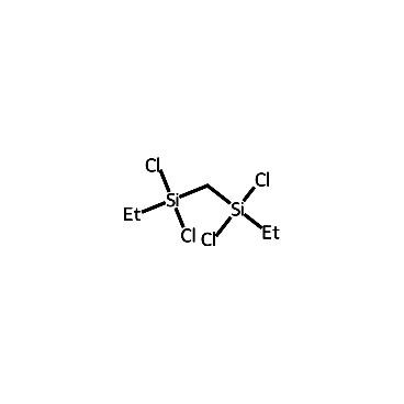 CC[Si](Cl)(Cl)C[Si](Cl)(Cl)CC